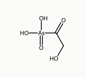 O=C(CO)[As](=O)(O)O